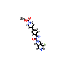 CC(C)(C)OC(=O)N1CC=C(c2ccc(NC(=O)N3Cc4cncc(F)c4C3)cc2)CC1